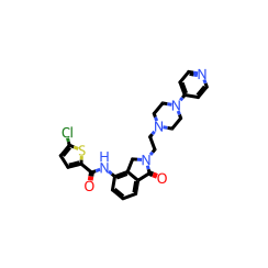 O=C(Nc1cccc2c1CN(CCN1CCN(c3ccncc3)CC1)C2=O)c1ccc(Cl)s1